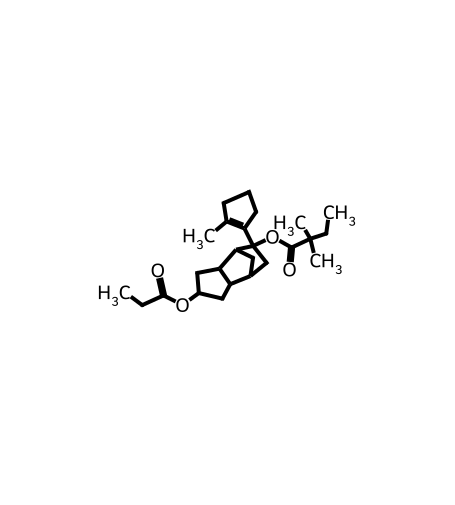 CCC(=O)OC1CC2C3CC(C2C1)C(OC(=O)C(C)(C)CC)(C1=C(C)CCC1)C3